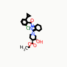 CCOC(=O)[C@H]1CCN(c2nn(C(=O)c3c(Cl)cccc3C3CC3)c3c2CCCC3)C[C@H]1O